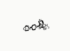 C[N+]12C=CN=CC1=C(N1CCC(N3CCOCC3)CC1)N=C2Br